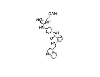 COCCNC(=C[N+](=O)[O-])Nc1ccc(NC(=O)c2sccc2NCc2ccnc3ccccc23)cc1